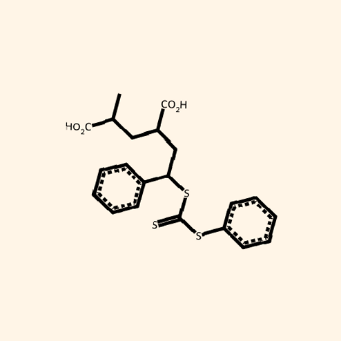 CC(CC(CC(SC(=S)Sc1ccccc1)c1ccccc1)C(=O)O)C(=O)O